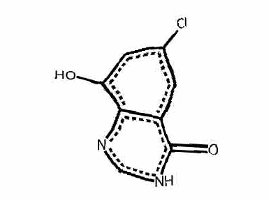 O=c1[nH]cnc2c(O)cc(Cl)cc12